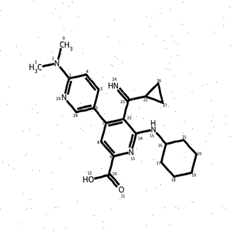 CN(C)c1ccc(-c2cc(C(=O)O)nc(NC3CCCCC3)c2C(=N)C2CC2)cn1